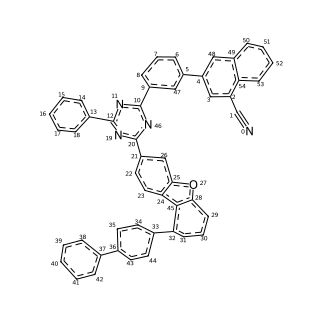 N#Cc1cc(-c2cccc(-c3nc(-c4ccccc4)nc(-c4ccc5c(c4)oc4cccc(-c6ccc(-c7ccccc7)cc6)c45)n3)c2)cc2ccccc12